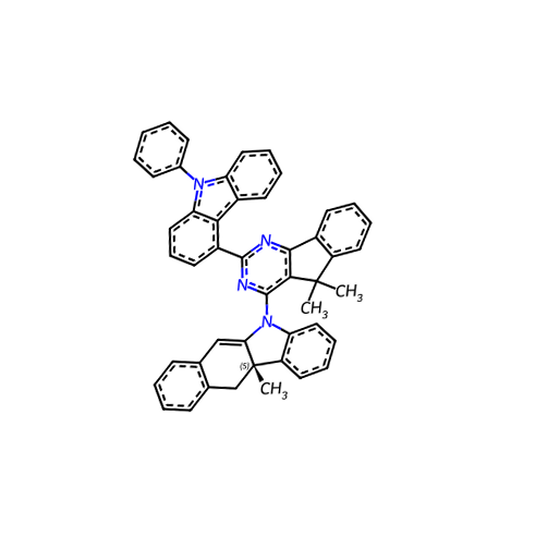 CC1(C)c2ccccc2-c2nc(-c3cccc4c3c3ccccc3n4-c3ccccc3)nc(N3C4=Cc5ccccc5C[C@@]4(C)c4ccccc43)c21